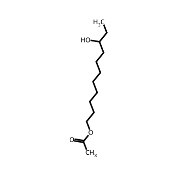 CCC(O)CCCCCCCCOC(C)=O